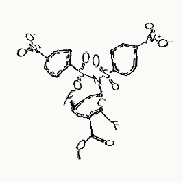 COC(=O)c1cc(F)c(N(S(=O)(=O)c2ccc([N+](=O)[O-])cc2)S(=O)(=O)c2ccc([N+](=O)[O-])cc2)cc1F